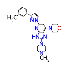 Cc1cccc(-c2ccn(-c3cc(N4CCOCC4)c4nc(N5CCN(C)CC5)[nH]c4n3)n2)c1